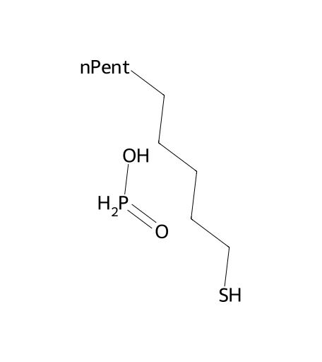 CCCCCCCCCCS.O=[PH2]O